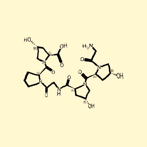 NCC(=O)N1C[C@H](O)C[C@H]1C(=O)N1C[C@H](O)C[C@H]1C(=O)NCC(=O)N1CCC[C@H]1C(=O)N1C[C@H](O)C[C@H]1C(=O)O